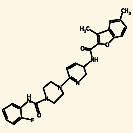 Cc1ccc2oc(C(=O)NC3C=CC(N4CCN(C(=O)Nc5ccccc5F)CC4)=NC3)c(C)c2c1